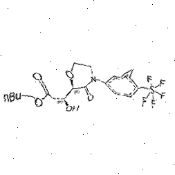 CCCCOC(=O)[C@H](O)[C@H]1OCCN(c2ccc(S(F)(F)(F)(F)F)cc2)C1=O